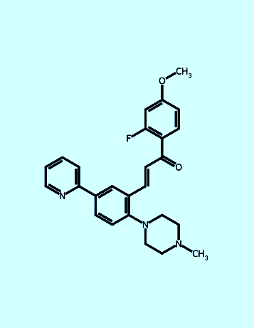 COc1ccc(C(=O)C=Cc2cc(-c3ccccn3)ccc2N2CCN(C)CC2)c(F)c1